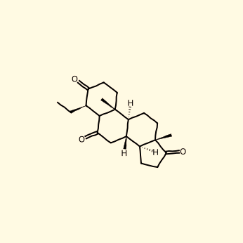 CC[C@H]1C(=O)CC[C@@]2(C)C1C(=O)C[C@@H]1[C@@H]2CC[C@]2(C)C(=O)CC[C@@H]12